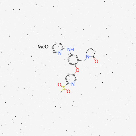 COc1ccc(Nc2ccc(Oc3ccc(S(C)(=O)=O)nc3)c(CN3CCCC3=O)c2)nc1